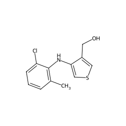 Cc1cccc(Cl)c1Nc1cscc1CO